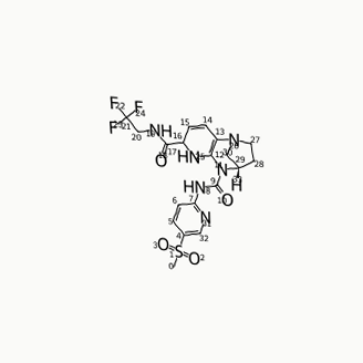 CS(=O)(=O)c1ccc(NC(=O)N2C3=C(C=CC(C(=O)NCC(F)(F)F)N3)N3CC[C@H]2C3)nc1